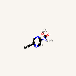 C#Cc1cnc(N(C)C(=O)OC(C)(C)C)cn1